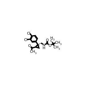 CC(=O)C1C[C@]1(CNC(=O)OC(C)(C)C)c1ccc(Cl)c(Cl)c1